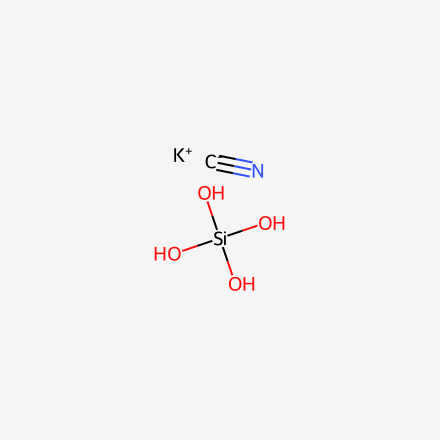 O[Si](O)(O)O.[C-]#N.[K+]